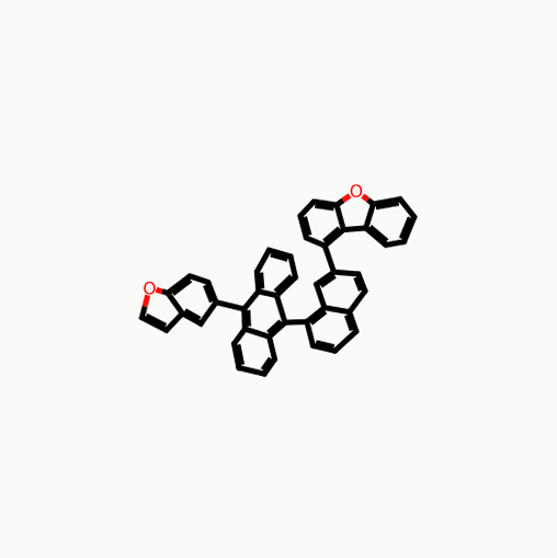 c1cc(-c2c3ccccc3c(-c3ccc4occc4c3)c3ccccc23)c2cc(-c3cccc4oc5ccccc5c34)ccc2c1